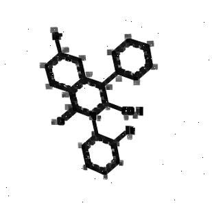 CCc1ccccc1-n1c(C(=O)O)c(-c2ccccc2)c2cc(Br)ccc2c1=O